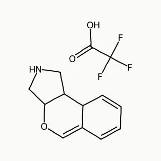 C1=CC2=COC3CNCC3C2C=C1.O=C(O)C(F)(F)F